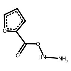 NNOC(=O)c1ccco1